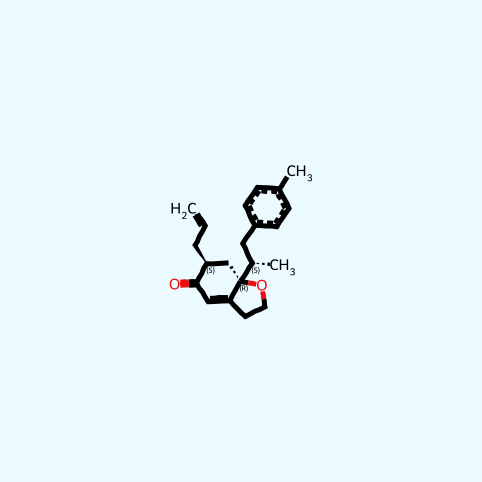 C=CC[C@H]1C[C@]2([C@@H](C)Cc3ccc(C)cc3)OCCC2=CC1=O